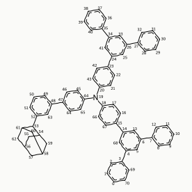 c1ccc(-c2cc(-c3ccccc3)cc(-c3ccc(N(c4ccc(-c5cc(-c6ccccc6)cc(-c6ccccc6)c5)cc4)c4ccc(-c5cccc(C6C7CC8CC(C7)CC6C8)c5)cc4)cc3)c2)cc1